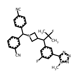 [C-]#[N+]c1ccc(C(c2cccc(C#N)c2)N2CC(C(c3cc(F)cc(-c4nnnn4C)c3)C(C)(C)F)C2)cc1